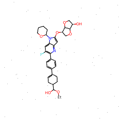 CCOC(O)C1CC=C(c2ccc(-c3nc4cc(O[C@@H]5COC6C5OC[C@H]6O)n(C5CCCCO5)c4cc3F)cc2)CC1